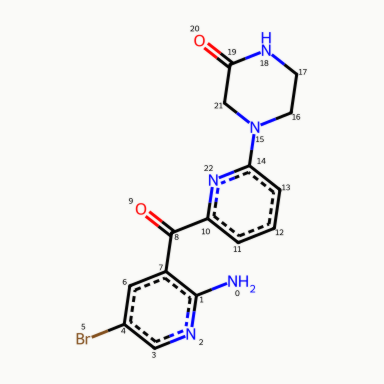 Nc1ncc(Br)cc1C(=O)c1cccc(N2CCNC(=O)C2)n1